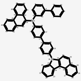 c1ccc(-c2cccc(N(c3ccc(-c4ccc(-n5c6ccccc6c6c7ccccc7ccc65)cc4)cc3)c3cc4ccccc4c4ccccc34)c2)cc1